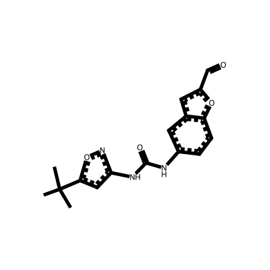 CC(C)(C)c1cc(NC(=O)Nc2ccc3oc(C=O)cc3c2)no1